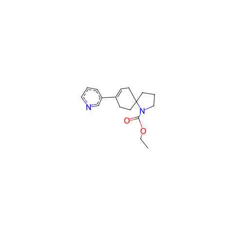 CCOC(=O)N1CCCC12CC=C(c1cccnc1)CC2